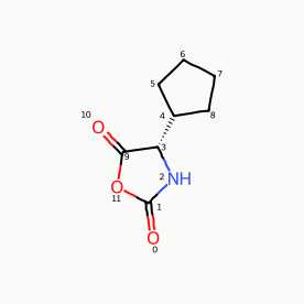 O=C1N[C@@H](C2CCCC2)C(=O)O1